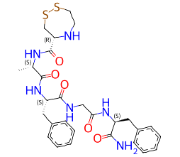 C[C@H](NC(=O)[C@@H]1CSSCCN1)C(=O)N[C@@H](Cc1ccccc1)C(=O)NCC(=O)N[C@@H](Cc1ccccc1)C(N)=O